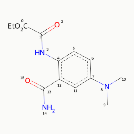 CCOC(=O)C(=O)Nc1ccc(N(C)C)cc1C(N)=O